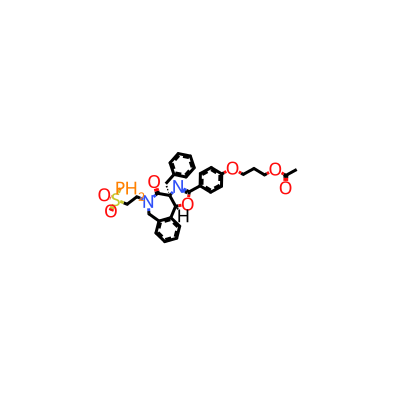 CC(=O)OCCCOc1ccc(C2=N[C@]3(Cc4ccccc4)C(=O)N(CCS(=O)(=O)P)Cc4ccccc4[C@@H]3O2)cc1